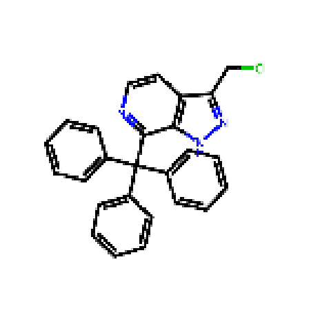 ClCc1n[nH]c2c(C(c3ccccc3)(c3ccccc3)c3ccccc3)nccc12